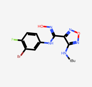 CC(C)(C)Nc1nonc1/C(=N/O)Nc1ccc(F)c(Br)c1